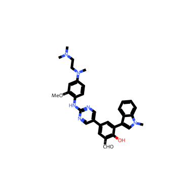 COc1cc(N(C)CCN(C)C)ccc1Nc1ncc(-c2cc(C=O)c(O)c(-c3cn(C)c4ccccc34)c2)cn1